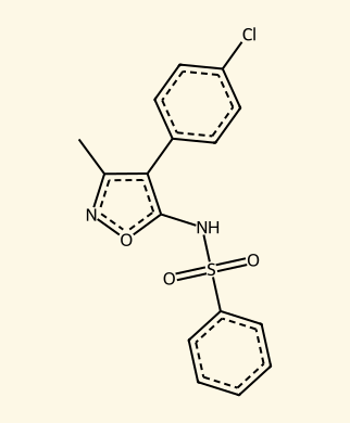 Cc1noc(NS(=O)(=O)c2ccccc2)c1-c1ccc(Cl)cc1